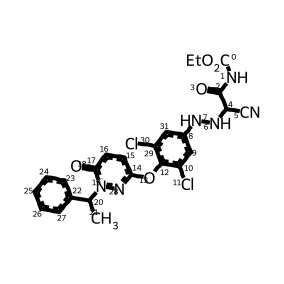 CCOC(=O)NC(=O)C(C#N)NNc1cc(Cl)c(Oc2ccc(=O)n(C(C)c3ccccc3)n2)c(Cl)c1